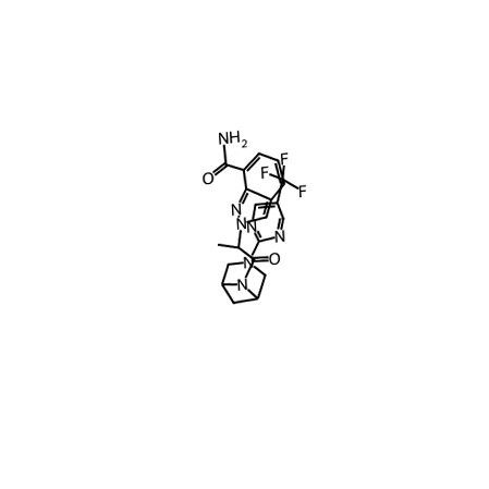 CC(C(=O)N1C2CC1CN(c1ncc(C(F)(F)F)cn1)C2)n1cc2cccc(C(N)=O)c2n1